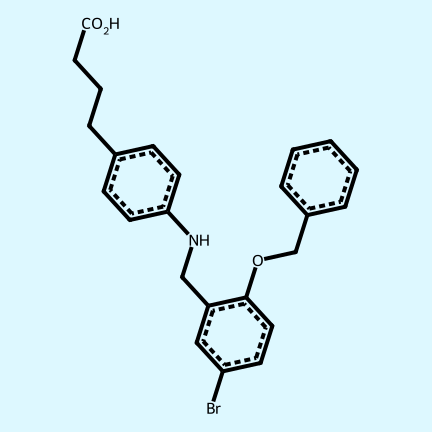 O=C(O)CCCc1ccc(NCc2cc(Br)ccc2OCc2ccccc2)cc1